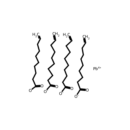 C=CCCCCCCCC(=O)[O-].C=CCCCCCCCC(=O)[O-].C=CCCCCCCCC(=O)[O-].C=CCCCCCCCC(=O)[O-].[Pb+4]